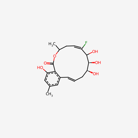 Cc1cc(O)c2c(c1)/C=C/C[C@H](O)[C@H](O)C(O)/C(F)=C\CC(C)OC2=O